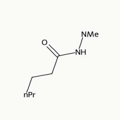 CCCCCC(=O)NNC